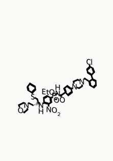 CCOP(=O)(NC(=O)c1ccc(N2CCN(Cc3ccccc3-c3ccc(Cl)cc3)CC2)cc1)c1ccc(N[C@H](CCN2CCOCC2)CSc2ccccc2)c([N+](=O)[O-])c1